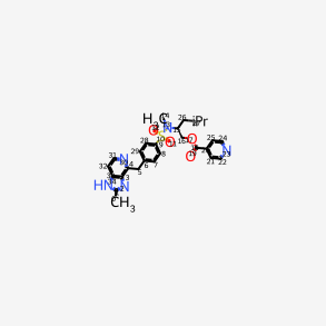 Cc1nc2c(Cc3ccc(S(=O)(=O)N(C)[C@H](COC(=O)c4ccncc4)CC(C)C)cc3)nccc2[nH]1